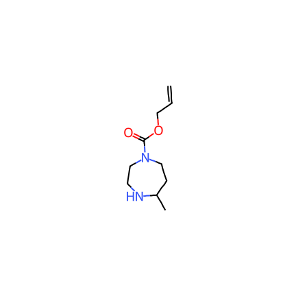 C=CCOC(=O)N1CCNC(C)CC1